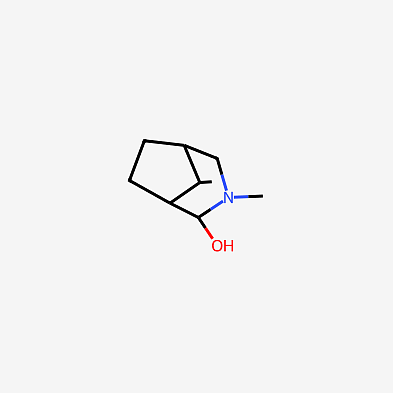 CC1C2CCC1C(O)N(C)C2